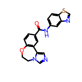 O=C(Nc1ccc2scnc2c1)c1ccc2c(c1)-c1cncn1CCO2